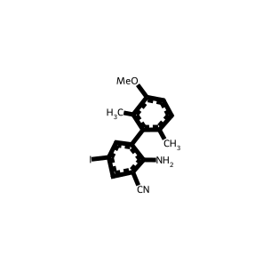 COc1ccc(C)c(-c2cc(I)cc(C#N)c2N)c1C